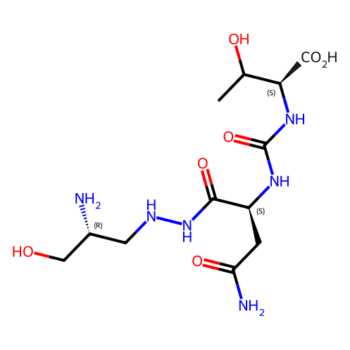 CC(O)[C@H](NC(=O)N[C@@H](CC(N)=O)C(=O)NNC[C@@H](N)CO)C(=O)O